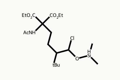 CCOC(=O)C(CCC(C(Cl)O[SiH](C)C)C(C)(C)C)(NC(C)=O)C(=O)OCC